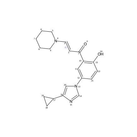 O=C(/C=C/N1CCCCC1)c1cc(-n2cnc(C3CC3)c2)ccc1O